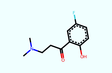 CN(C)CCC(=O)c1cc(F)ccc1O